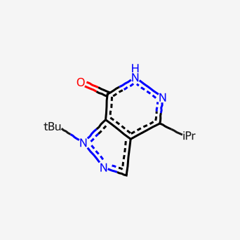 CC(C)c1n[nH]c(=O)c2c1cnn2C(C)(C)C